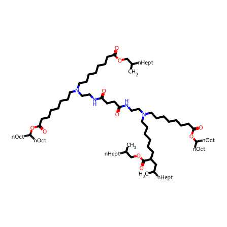 CCCCCCCCC(CCCCCCCC)OC(=O)CCCCCCCN(CCCCCCCC(=O)OCC(C)CCCCCCC)CCNC(=O)CCC(=O)NCCN(CCCCCCCC(=O)OC(CCCCCCCC)CCCCCCCC)CCCCCCC(CC(C)CCCCCCC)C(=O)OCC(C)CCCCCCC